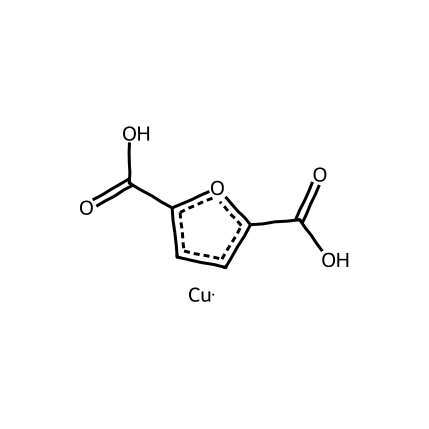 O=C(O)c1ccc(C(=O)O)o1.[Cu]